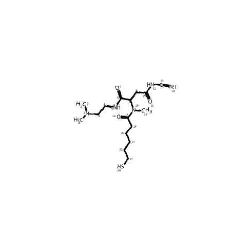 CN(C)CCNC(=O)C(CC(=O)NB=N)N(C)C(=O)CCCCCS